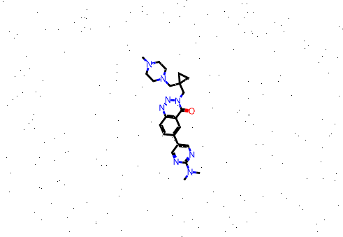 CN1CCN(CC2(Cn3nnc4ccc(-c5cnc(N(C)C)nc5)cc4c3=O)CC2)CC1